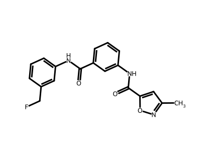 Cc1cc(C(=O)Nc2cccc(C(=O)Nc3cccc(CF)c3)c2)on1